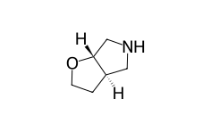 C1C[C@@H]2CNC[C@H]2O1